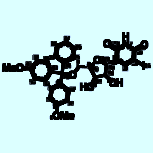 COc1ccc(C(OC[C@@H]2O[C@H](n3cc(I)c(=O)[nH]c3=O)C(O)C2O)(c2ccccc2)c2ccc(OC)cc2)cc1